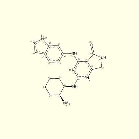 N[C@H]1CCCC[C@H]1Nc1nc2c(c(Nc3ccc4cn[nH]c4c3)n1)C(=O)NC2